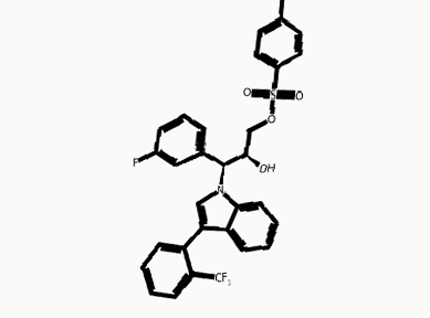 Cc1ccc(S(=O)(=O)OC[C@@H](O)[C@H](c2cccc(F)c2)n2cc(-c3ccccc3C(F)(F)F)c3ccccc32)cc1